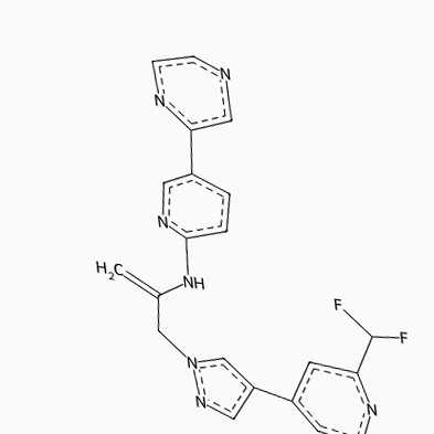 C=C(Cn1cc(-c2ccnc(C(F)F)c2)cn1)Nc1ccc(-c2cnccn2)cn1